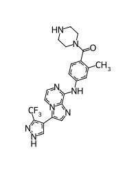 Cc1cc(Nc2nccn3c(-c4c[nH]nc4C(F)(F)F)cnc23)ccc1C(=O)N1CCNCC1